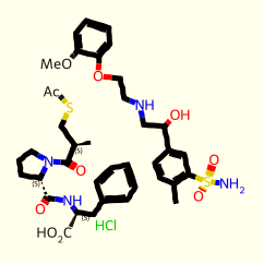 CC(=O)SC[C@@H](C)C(=O)N1CCC[C@H]1C(=O)N[C@@H](Cc1ccccc1)C(=O)O.COc1ccccc1OCCNCC(O)c1ccc(C)c(S(N)(=O)=O)c1.Cl